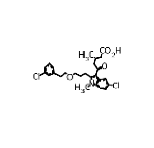 C[C@H](CC(=O)O)CC(=O)c1c(CCCOCCc2cccc(Cl)c2)n(C)c2ccc(Cl)cc12